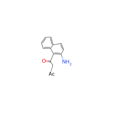 CC(=O)CC(=O)c1c(N)ccc2ccccc12